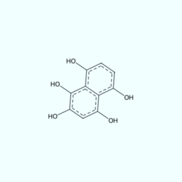 Oc1cc(O)c2c(O)ccc(O)c2c1O